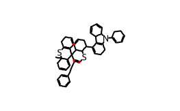 CC12CC=CC=C1C1(C3=C(CCC=C3)S2)c2cc(-c3ccccc3)ccc2SC2C(C3=CCCC4=C3C3C=CC=CC3N4C3=CC=CCC3)CC=CC21